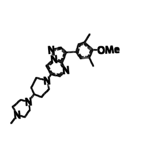 COc1c(C)cc(-c2cnn3cc(N4CCC(N5CCN(C)CC5)CC4)cnc23)cc1C